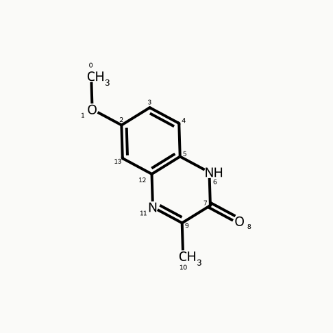 COc1ccc2[nH]c(=O)c(C)nc2c1